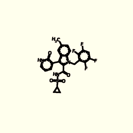 Cc1ccc2c(c1)c(-c1ccc[nH]c1=O)c(C(=O)NS(=O)(=O)C1CC1)n2Cc1c(F)c(F)cc(F)c1F